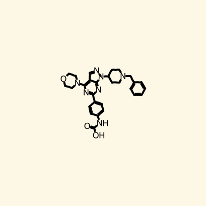 O=C(O)Nc1ccc(-c2nc(N3CCOCC3)c3cnn(C4CCN(Cc5ccccc5)CC4)c3n2)cc1